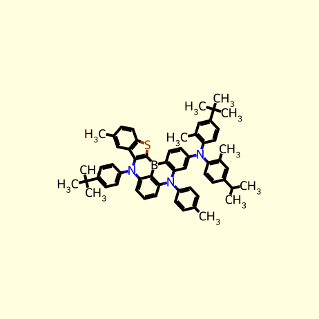 Cc1ccc(N2c3cc(N(c4ccc(C(C)C)cc4C)c4ccc(C(C)(C)C)cc4C)ccc3B3c4sc5ccc(C)cc5c4N(c4ccc(C(C)(C)C)cc4)c4cccc2c43)cc1